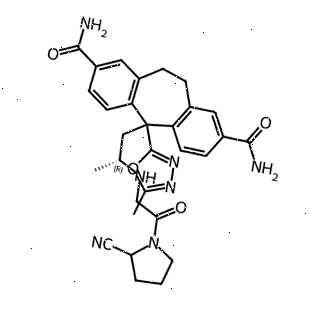 Cc1nnc(C2(C[C@@H](C)NCC(=O)N3CCCC3C#N)c3ccc(C(N)=O)cc3CCc3cc(C(N)=O)ccc32)o1